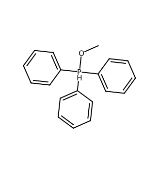 CO[PH](c1ccccc1)(c1ccccc1)c1ccccc1